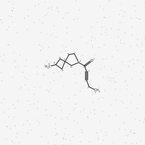 CCC#CC(=O)N1CCC2(CC(C)C2)C1